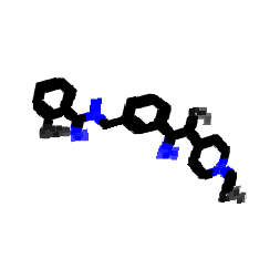 C=CN1CCC(C(=C)C(=N)c2cccc(CNC(=N)c3ccccc3OC)c2)CC1